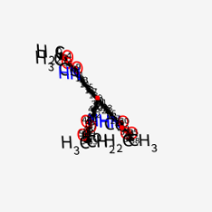 C=C(C)C(=O)OC[CH2][Co](=[O])[NH]CCCCCCCCCC(CCCCCCC[NH][Co](=[O])[CH2]COC(=O)C(=C)C)CCCCCNC(=O)OC[CH2][Co](=[O])[C](=C)C